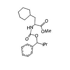 COC(=O)C(CC1CCCCC1)NC(=O)OC(c1ccccc1)C(C)C